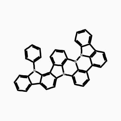 c1ccc(-n2c3ccccc3c3ccc4c(c5cccc6c5n4-c4cccc5c4B6n4c6ccccc6c6cccc-5c64)c32)cc1